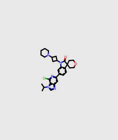 CC(C)n1cnc2cc(-c3ccc4c(c3)N(C3CC(N5CCCCC5)C3)C(=O)C43CCOCC3)nc(Cl)c21